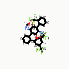 FC(F)(F)c1cc(-c2ccccc2-c2c3ncoc3c(-c3ccccc3C(F)(F)F)c3ncoc23)cc(C(F)(F)F)c1